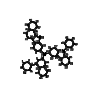 c1ccc(-c2cc(N(c3ccc4c(c3)sc3c5ccccc5ccc43)c3ccc4c(c3)c3ccccc3n4-c3ccccc3)cc3ccccc23)cc1